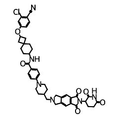 N#Cc1ccc(OC2CC3(CCC(NC(=O)c4ccc(N5CCC(CN6Cc7cc8c(cc7C6)C(=O)N(C6CCC(=O)NC6=O)C8=O)CC5)cc4)CC3)C2)cc1Cl